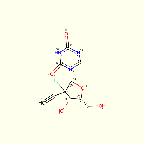 C#CC1(F)[C@@H](O)[C@@H](CO)O[C@H]1n1cnc(=O)[nH]c1=O